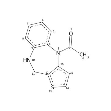 CC(=O)N1c2ccccc2NCc2sccc21